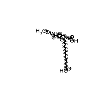 CCOCCNC(=O)c1ccc(CN(CCC(=O)O)C(=O)CCCCCCCCCCCCCCCCC(=O)O)cc1